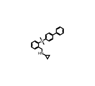 C[Si](C)(c1ccc(-c2ccccc2)cc1)c1ccccc1CNC1CC1